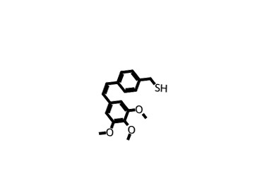 COc1cc(/C=C\c2ccc(CS)cc2)cc(OC)c1OC